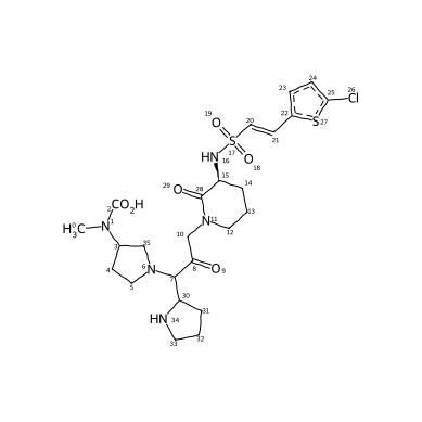 CN(C(=O)O)C1CCN(C(C(=O)CN2CCC[C@H](NS(=O)(=O)C=Cc3ccc(Cl)s3)C2=O)C2CCCN2)C1